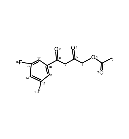 CC(=O)OCC(=O)CC(=O)c1cc(F)cc(F)c1